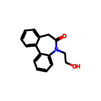 O=C1Cc2ccccc2-c2ccccc2N1CCO